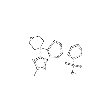 Cc1nnc(C2(c3ccccc3)CCNCC2)o1.O=S(=O)(O)c1ccccc1